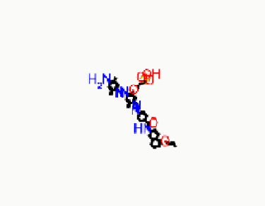 CCCOc1cccc2cc(NC(=O)c3ccc(N=Nc4cc(OCCCS(=O)(=O)O)c(N=Nc5cc(C)c(N)cc5C)cc4C)cc3)ccc12